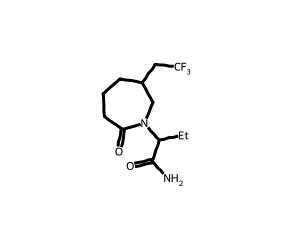 CCC(C(N)=O)N1CC(CC(F)(F)F)CCCC1=O